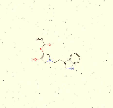 COC(=O)OC1=C(O)CN(CCc2c[nH]c3ccccc23)C1